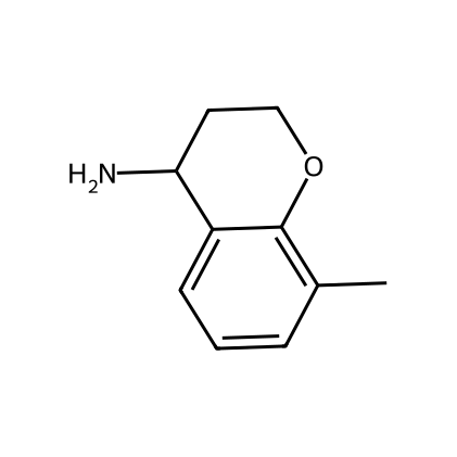 Cc1cccc2c1OCCC2N